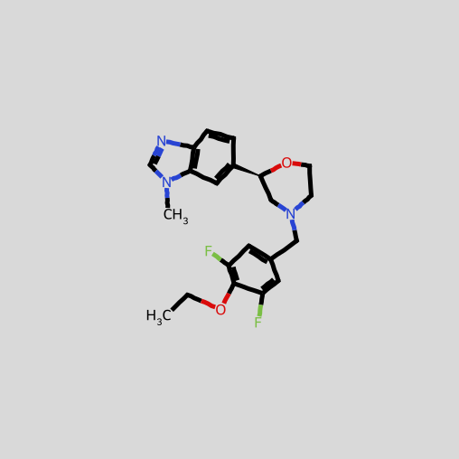 CCOc1c(F)cc(CN2CCO[C@H](c3ccc4ncn(C)c4c3)C2)cc1F